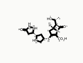 C[C@@H](O)[C@H]1C(=O)N2C(C(=O)O)=C(S[C@@H]3CN[C@H](C4CC(=O)NN4)C3)C[C@H]12